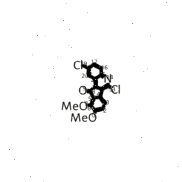 COc1ccc2c(c1OC)C(=O)c1c-2c(Cl)nc2ccc(Cl)cc12